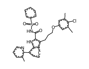 Cc1cccnc1-c1cccc2c(CCCOc3cc(C)c(Cl)c(C)c3)c(C(=O)NS(=O)(=O)c3ccccc3)[nH]c12